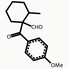 COc1ccc(C(=O)C2(C=O)CCCCC2C)cc1